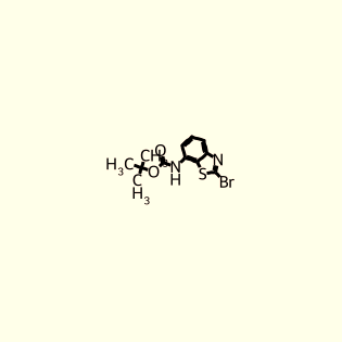 CC(C)(C)OC(=O)Nc1cccc2nc(Br)sc12